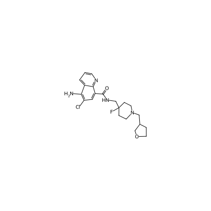 Nc1c(Cl)cc(C(=O)NCC2(F)CCN(CC3CCOC3)CC2)c2ncccc12